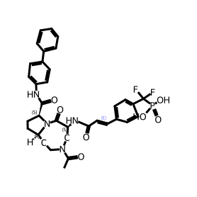 CC(=O)N1CC[C@H]2CC[C@@H](C(=O)Nc3ccc(-c4ccccc4)cc3)N2C(=O)[C@@H](NC(=O)/C=C/c2ccc(C(F)(F)P(=O)(O)O)cc2)C1